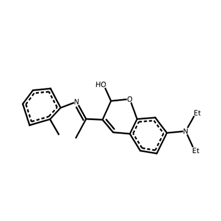 CCN(CC)c1ccc2c(c1)OC(O)C(/C(C)=N/c1ccccc1C)=C2